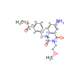 COCCn1c(=O)c2cc(N)ccc2n(Cc2cccc(C(=O)OC)c2)c1=O